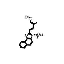 CCCCCCCC[n+]1c(C=CC(C)=COCC)oc2c3ccccc3ccc21.[I-]